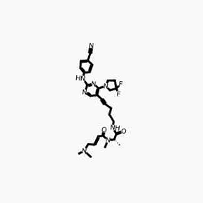 C[C@@H](C(=O)NCCCC#Cc1cnc(Nc2ccc(C#N)cc2)nc1N1CCC(F)(F)C1)N(C)C(=O)/C=C/CN(C)C